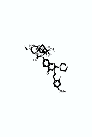 COc1ccc(CCn2c(N3CCOCC3)nc3cc(N(C(=N)N4CCN[C@@H](CF)C4)[C@H]4C[C@H]5C[C@@H]([C@@H]4C)C5(C)C)ccc3c2=O)c(F)c1